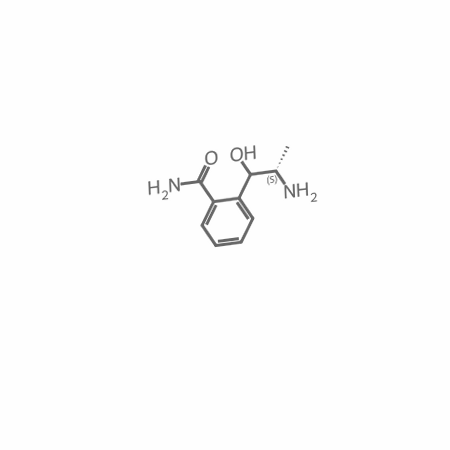 C[C@H](N)C(O)c1ccccc1C(N)=O